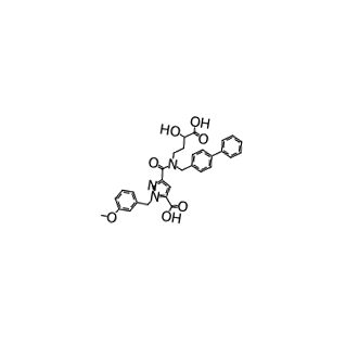 COc1cccc(Cn2nc(C(=O)N(CCC(O)C(=O)O)Cc3ccc(-c4ccccc4)cc3)cc2C(=O)O)c1